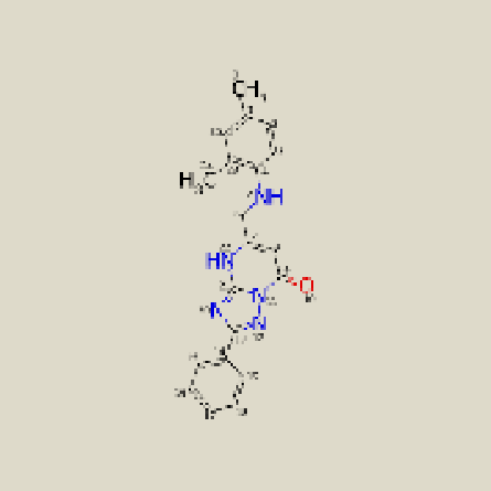 Cc1ccc(NCc2cc(=O)n3nc(-c4ccccc4)nc3[nH]2)c(C)c1